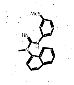 CSc1cccc(NC(=N)N(C)c2cccc3ccccc23)c1